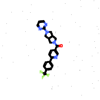 O=C(c1ccc(-c2ccc(C(F)(F)F)cc2)nc1)N1CC2CN(c3ncccn3)CC2C1